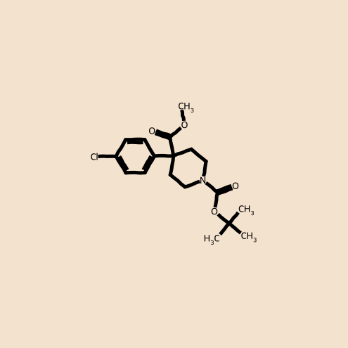 COC(=O)C1(c2ccc(Cl)cc2)CCN(C(=O)OC(C)(C)C)CC1